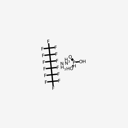 FC(F)(F)C(F)(F)C(F)(F)C(F)(F)C(F)(F)C(F)(F)F.N.N.O=[PH](O)O